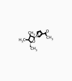 CC[C@H]1O[C@@H](n2ccc(C(C)=O)c2)C(C)C1C